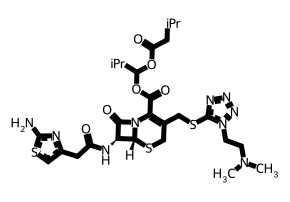 CC(C)CC(=O)OC(OC(=O)C1=C(CSc2nnnn2CCN(C)C)CS[C@@H]2[C@H](NC(=O)Cc3csc(N)n3)C(=O)N12)C(C)C